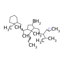 BC1CC(C(C)CCC2CCCCC2(C)C)C(C)(CC=CC)C1CCC(/C=C/C)C(C)C